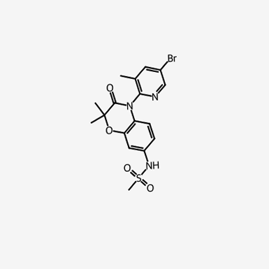 Cc1cc(Br)cnc1N1C(=O)C(C)(C)Oc2cc(NS(C)(=O)=O)ccc21